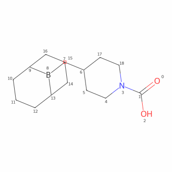 O=C(O)N1CCC(CB2C3CCCC2CCC3)CC1